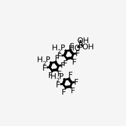 Fc1c(F)c(F)c(P)c(F)c1F.Fc1c(F)c(F)c(P)c(F)c1F.Fc1c(F)c(F)c(P)c(F)c1F.OB(O)O